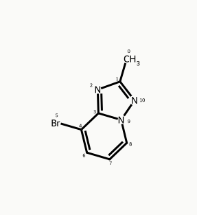 Cc1nc2c(Br)cccn2n1